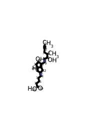 CC#CCC(C)[C@H](O)/C=C/C1=C2C/C(=C/CCCC(=O)O)C[C@H]2CC1O